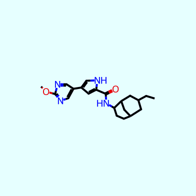 CCC1CC2CCC(NC(=O)c3cc(-c4cnc(OC)nc4)c[nH]3)C(C1)C2